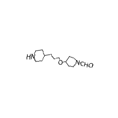 O=CN1CCC(OCCCC2CCNCC2)CC1